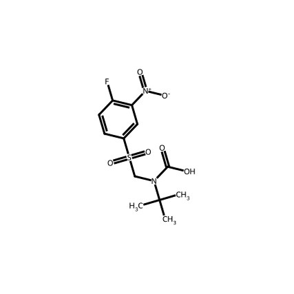 CC(C)(C)N(CS(=O)(=O)c1ccc(F)c([N+](=O)[O-])c1)C(=O)O